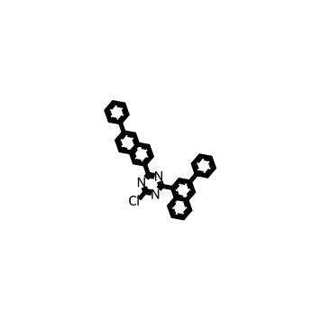 Clc1nc(-c2ccc3cc(-c4ccccc4)ccc3c2)nc(-c2cc(-c3ccccc3)cc3ccccc23)n1